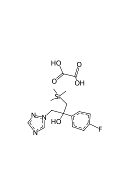 C[Si](C)(C)CC(O)(Cn1cncn1)c1ccc(F)cc1.O=C(O)C(=O)O